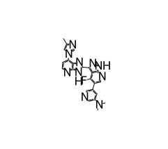 Cc1cn(-c2ccnc3[nH]c(-c4n[nH]c5ncc(-c6cncc(N(C)C)c6)c(F)c45)nc23)cn1